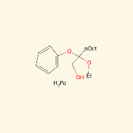 CCCCCCCCC(CO)(OCC)Oc1ccccc1.[PoH2]